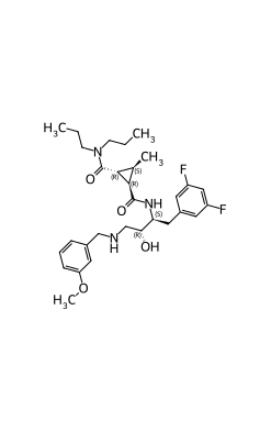 CCCN(CCC)C(=O)[C@@H]1[C@@H](C)[C@H]1C(=O)N[C@@H](Cc1cc(F)cc(F)c1)[C@H](O)CNCc1cccc(OC)c1